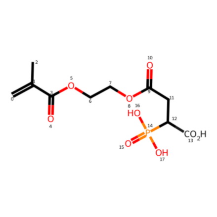 C=C(C)C(=O)OCCOC(=O)CC(C(=O)O)P(=O)(O)O